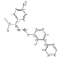 Cc1c(CON=C(c2ccc(Cl)cc2)C(C)C)cccc1-c1ccccc1